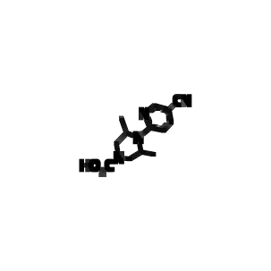 CC1CN(C(=O)O)CC(C)N1c1ccc(C#N)cn1